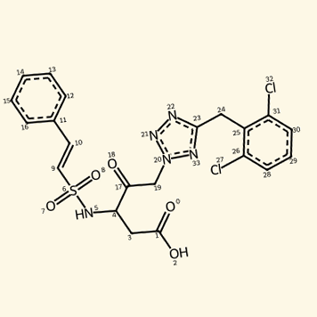 O=C(O)CC(NS(=O)(=O)C=Cc1ccccc1)C(=O)Cn1nnc(Cc2c(Cl)cccc2Cl)n1